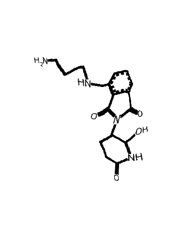 NCCCNc1cccc2c1C(=O)N(C1CCC(=O)NC1O)C2=O